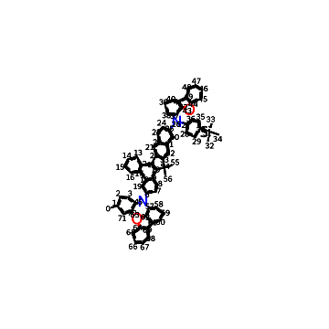 Cc1ccc(N(c2ccc3c4c(c5ccccc5c3c2)-c2cc3ccc(N(c5ccc([Si](C)(C)C)cc5)c5cccc6c5oc5ccccc56)cc3cc2C4(C)C)c2cccc3c2oc2ccccc23)cc1